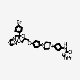 CCCOC(=O)Nc1ccc(N2CCN(c3ccc(OCC4COC(Cn5cncn5)(c5ccc(Br)cc5)O4)cc3)CC2)cc1